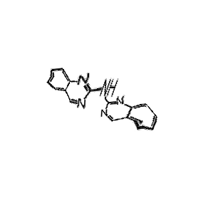 c1ccc2nc(Nc3ncc4ccccc4n3)ncc2c1